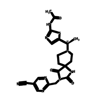 CC(=O)Nc1ncc([C@@H](C)N2CCC3(CC2)NC(=O)N(Cc2ncc(C#N)cn2)C3=O)s1